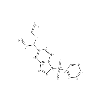 C=CCC(N=N)c1cnc2c(ccn2S(=O)(=O)c2ccccc2)n1